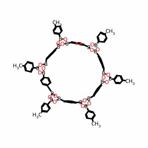 Cc1ccc(B2OB3OB(O2)c2ccc(cc2)B2OB(c4ccc(C)cc4)OB(O2)c2ccc(cc2)B2OB(c4ccc(C)cc4)OB(O2)c2ccc(cc2)B2OB(c4ccc(C)cc4)OB(O2)c2ccc(cc2)B2OB(c4ccc(C)cc4)OB(O2)c2ccc(cc2)B2OB(c4ccc(C)cc4)OB(O2)c2ccc3cc2)cc1